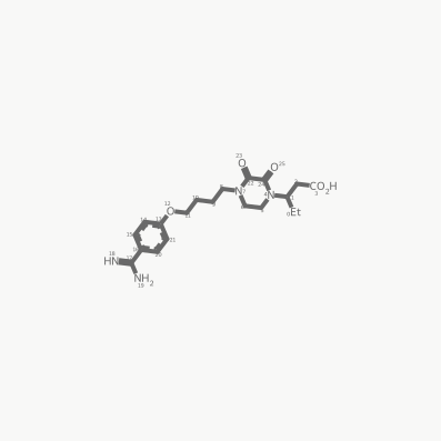 CCC(CC(=O)O)N1CCN(CCCCOc2ccc(C(=N)N)cc2)C(=O)C1=O